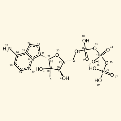 C[C@@]1(O)[C@H](O)[C@@H](COP(=O)(O)OP(=O)(O)OP(=O)(O)O)O[C@H]1c1ccc2c(N)ccnn12